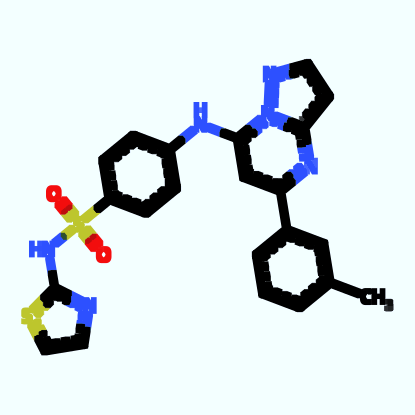 Cc1cccc(-c2cc(Nc3ccc(S(=O)(=O)Nc4nccs4)cc3)n3nccc3n2)c1